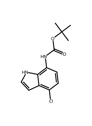 CC(C)(C)OC(=O)Nc1ccc(Cl)c2cc[nH]c12